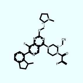 C=C(F)C(=O)N1CCN(c2nc(OC[C@@H]3CCCN3C)nc3c(F)c(-c4cccc5c4C(C)CC5)ncc23)C[C@@H]1CC#N